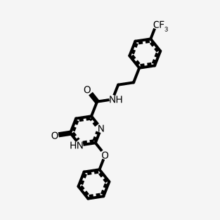 O=C(NCCc1ccc(C(F)(F)F)cc1)c1cc(=O)[nH]c(Oc2ccccc2)n1